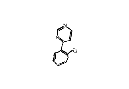 Clc1ccc[c]c1-c1ccncn1